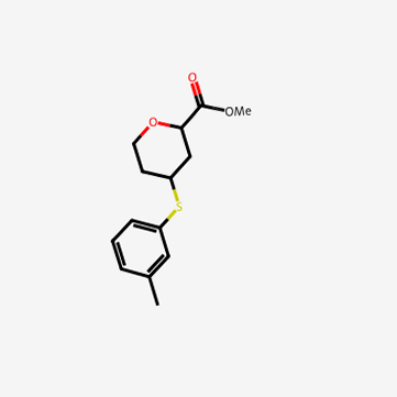 COC(=O)C1CC(Sc2cccc(C)c2)CCO1